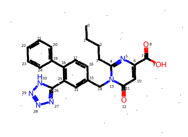 CCCCc1nc(C(=O)O)cc(=O)n1Cc1ccc(-c2ccccc2)c(-c2nnn[nH]2)c1